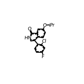 CC(C)Oc1ccc2c(-c3ccc(F)cc3Cl)c[nH]c(=O)c2c1